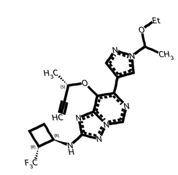 C#C[C@H](C)Oc1c(-c2cnn(C(C)OCC)c2)ncn2nc(N[C@@H]3CC[C@H]3C(F)(F)F)nc12